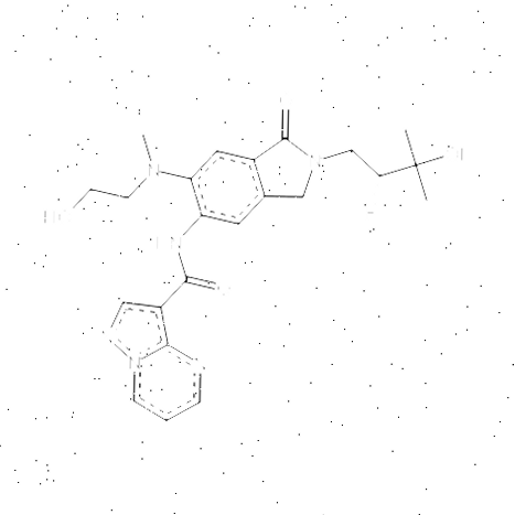 CN(CCO)c1cc2c(cc1NC(=O)c1cnn3cccnc13)CN(C[C@@H](F)C(C)(C)O)C2=O